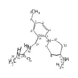 CCc1ccc(N2CCC(NC)CC2)c(CNC(=O)NC)c1